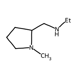 CCNCC1CCCN1C